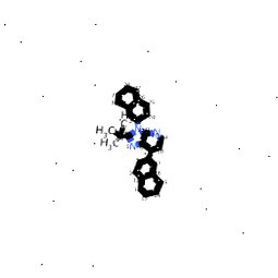 CC(C)(C)c1nc2c(-c3ccc4ccccc4c3)ccnc2n1-c1ccc2ccccc2c1